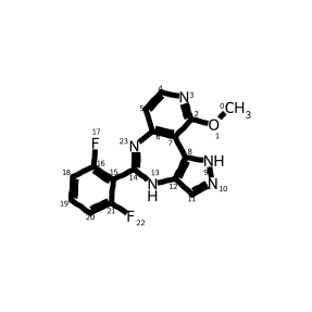 COc1nccc2c1-c1[nH]ncc1NC(c1c(F)cccc1F)=N2